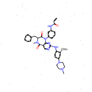 C=CC(=O)Nc1cccc(N2C(=O)C(Cc3ccccc3)N(C)C(=O)c3cnc(Nc4ccc(N5CCN(C)CC5)cc4OC)nc32)c1